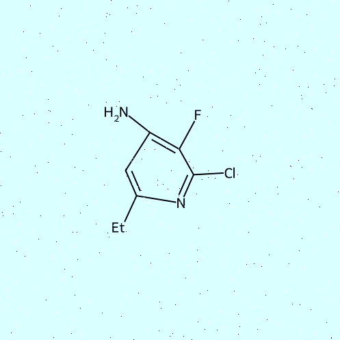 CCc1cc(N)c(F)c(Cl)n1